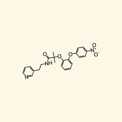 CC(C)(Oc1ccccc1Oc1ccc([N+](=O)[O-])cc1)C(=O)NCCc1cccnc1